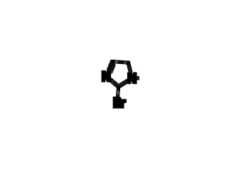 BrC1[N]CC=N1